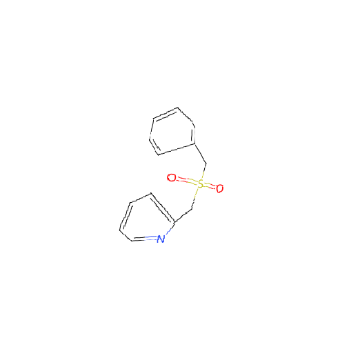 O=S(=O)(Cc1ccccc1)Cc1ccccn1